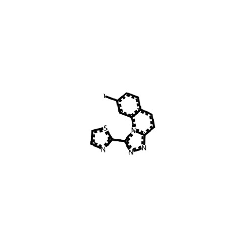 Ic1ccc2ccc3nnc(-c4nccs4)n3c2c1